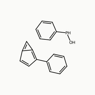 OPc1ccccc1.c1ccc(-c2ccc3cc2-3)cc1